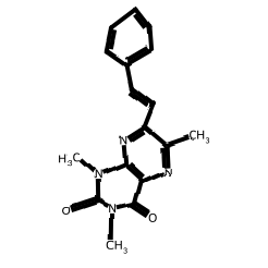 Cc1nc2c(=O)n(C)c(=O)n(C)c2nc1C=Cc1ccccc1